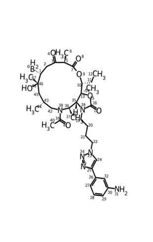 B[C@@H]1CC(=O)[C@@H](C)C(=O)O[C@H](CC)[C@@]2(C)OC(=O)N(CCCCn3cc(-c4cccc(N)c4)nn3)[C@@H]2[C@@H](C)N(C(C)=O)C[C@H](C)C[C@]1(C)O